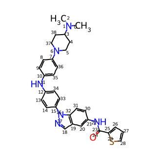 CN(C)C1CCN(c2ccc(Nc3ccc(-n4ncc5cc(NC(=O)c6cccs6)ccc54)cc3)cc2)CC1